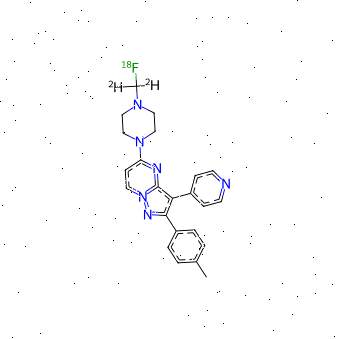 [2H]C([2H])([18F])N1CCN(c2ccn3nc(-c4ccc(C)cc4)c(-c4ccncc4)c3n2)CC1